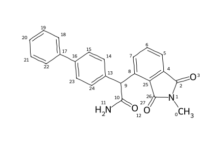 CN1C(=O)c2cccc(C(C(N)=O)c3ccc(-c4ccccc4)cc3)c2C1=O